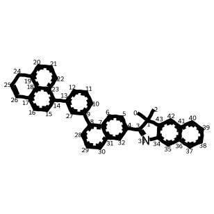 CC1(C)C(c2ccc3c(-c4cccc(-c5ccc6c7c(cccc57)CC=C6)c4)cccc3c2)=Nc2cc3ccccc3cc21